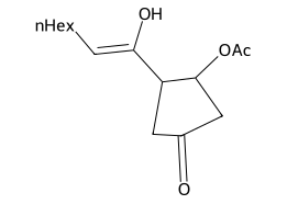 CCCCCC/C=C(\O)C1CC(=O)CC1OC(C)=O